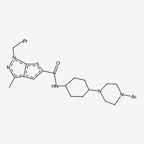 CC(=O)N1CCN(C2CCC(NC(=O)c3cc4c(C)nn(CC(C)C)c4s3)CC2)CC1